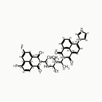 CCC(NC(C)N1C(=O)c2ccc(F)c3cc(F)cc(c23)C1=O)N(C)C(C)N1C(=O)c2cccc3c(-n4ccnc4)ccc(c23)C1=O